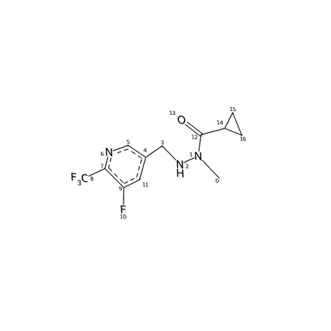 CN(NCc1cnc(C(F)(F)F)c(F)c1)C(=O)C1CC1